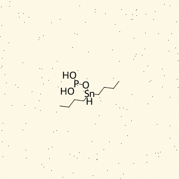 CCC[CH2][SnH]([CH2]CCC)[O]P(O)O